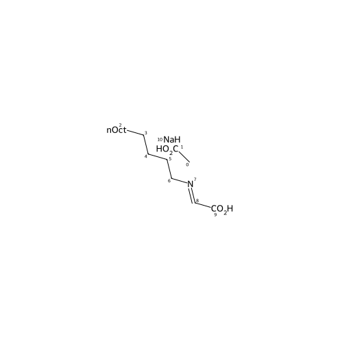 CC(=O)O.CCCCCCCCCCCCN=CC(=O)O.[NaH]